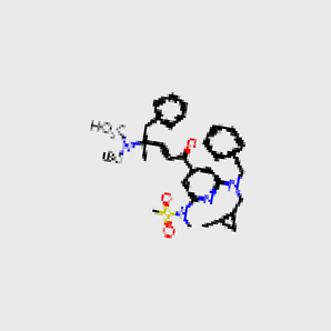 CC1CC1CN(Cc1ccccc1)c1cc(C(=O)/C=C/C(C)(Cc2ccccc2)N(C(=O)O)C(C)(C)C)cc(N(C)S(C)(=O)=O)n1